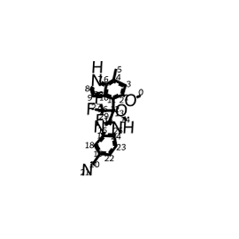 COc1cc(C)c2[nH]ccc2c1C(OC)(c1nc2cc(C#N)ccc2[nH]1)C(F)(F)F